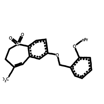 CCCOc1ccccc1COc1ccc2c(c1)C=C(C(=O)O)CCS2(=O)=O